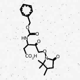 CC1CC(=O)N(OCC(=O)C(CC(=O)O)NC(=O)OCc2ccccc2)C1(C)C